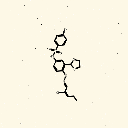 CC/C=C(/Cl)C=NOc1ccc(NS(=O)(=O)c2ccc(Cl)cc2)cc1C1OCCO1